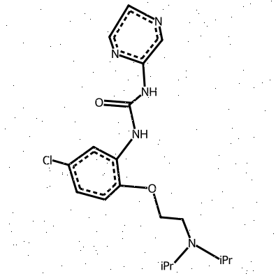 CC(C)N(CCOc1ccc(Cl)cc1NC(=O)Nc1cnccn1)C(C)C